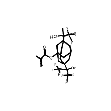 C=C(C)C(=O)OC12CC3CC(C(C)(O)C(F)(F)F)(C1)CC(C(O)(C(F)(F)F)C(F)(F)F)(C3)C2